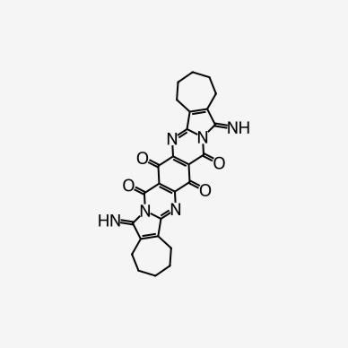 N=c1c2c(c3nc4c(=O)c5c(=O)n6c(=N)c7c(c6nc5c(=O)c4c(=O)n13)CCCCC7)CCCCC2